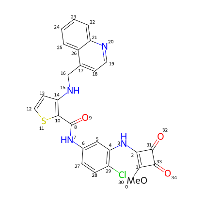 COc1c(Nc2cc(NC(=O)c3sccc3NCc3ccnc4ccccc34)ccc2Cl)c(=O)c1=O